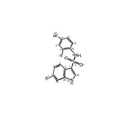 CC(C)c1ccc2c(S(=O)(=O)Nc3ccc(C#N)cc3F)c[nH]c2c1